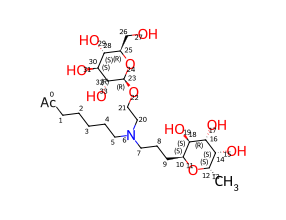 CC(=O)CCCCCN(CCC[C@@H]1O[C@@H](C)[C@@H](O)[C@@H](O)[C@@H]1O)CCO[C@@H]1O[C@H](CO)[C@@H](O)[C@H](O)[C@H]1O